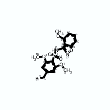 COc1cc(CBr)cc(OC)c1S(=O)(=O)Nc1noc2cccc(OC)c12